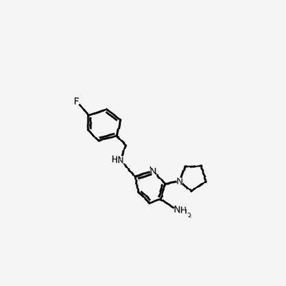 Nc1ccc(NCc2ccc(F)cc2)nc1N1CCCC1